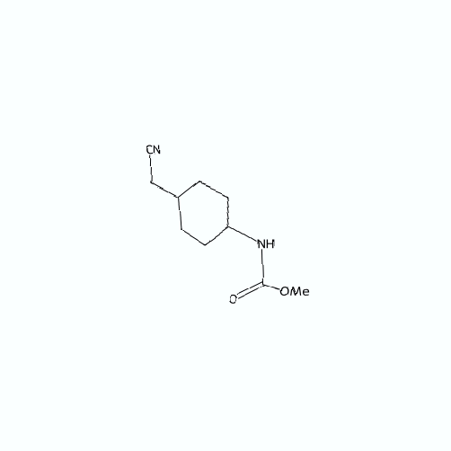 COC(=O)NC1CCC(CC#N)CC1